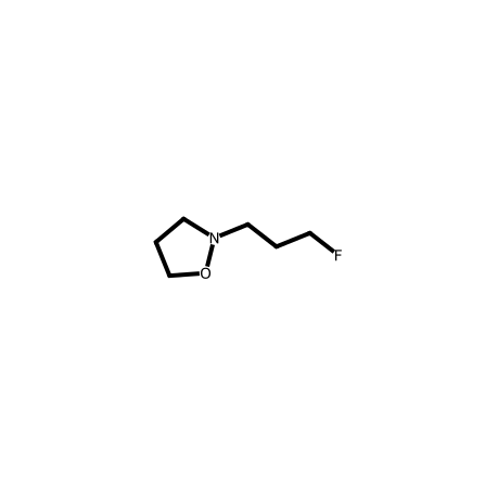 FCCCN1CCCO1